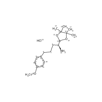 COc1ccc(CCC[C@H](N)B2OC(C)(C)C(C)(C)O2)cc1.Cl